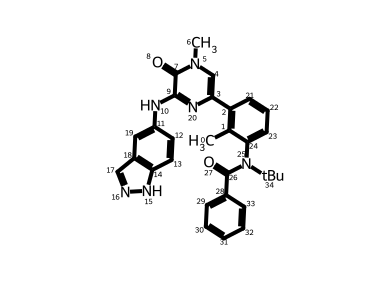 Cc1c(-c2cn(C)c(=O)c(Nc3ccc4[nH]ncc4c3)n2)cccc1N(C(=O)c1ccccc1)C(C)(C)C